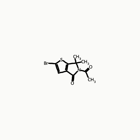 CC(=O)N1C(=O)c2cc(Br)sc2C1(C)C